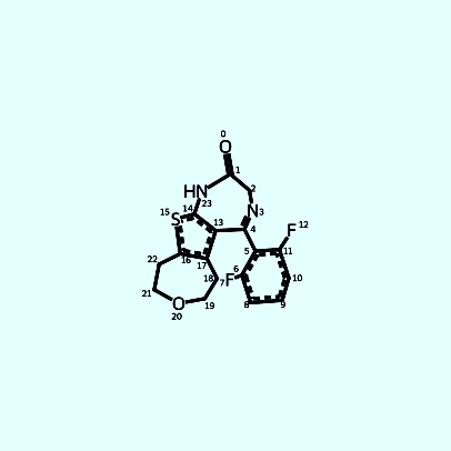 O=C1CN=C(c2c(F)cccc2F)c2c(sc3c2CCOCC3)N1